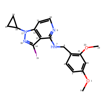 COc1ccc(CNc2nccc3c2c(I)nn3C2CC2)c(OC)c1